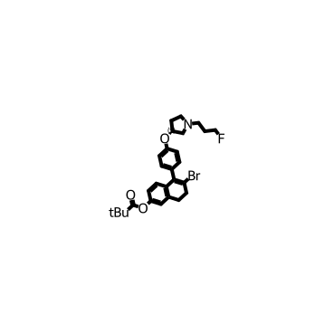 CC(C)(C)C(=O)Oc1ccc2c(c1)CCC(Br)=C2c1ccc(O[C@H]2CCN(CCCF)C2)cc1